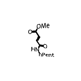 CCCCCNC(=O)C=CC(=O)OC